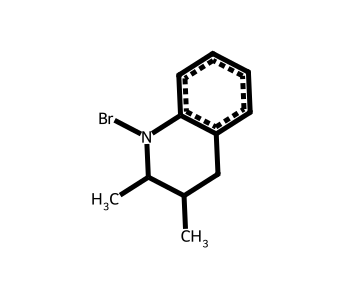 CC1Cc2ccccc2N(Br)C1C